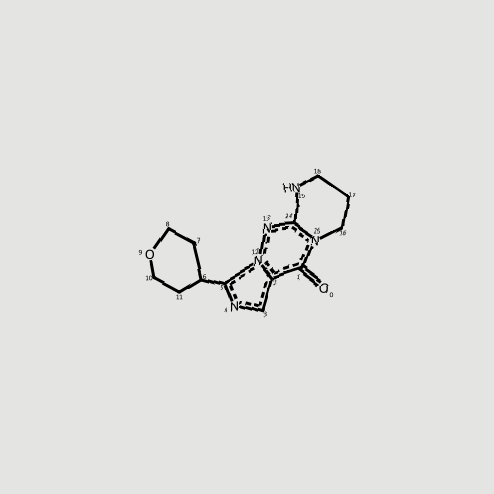 O=c1c2cnc(C3CCOCC3)n2nc2n1CCCN2